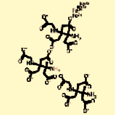 CC(N)(CC(=O)[O-])C(CC(=O)[O-])(CC(=O)[O-])NCC(=O)[O-].CC(N)(CC(=O)[O-])C(CC(=O)[O-])(CC(=O)[O-])NCC(=O)[O-].CC(N)(CC(=O)[O-])C(CC(=O)[O-])(CC(=O)[O-])NCC(=O)[O-].[Fe+3].[Fe+3].[Fe+3].[Fe+3]